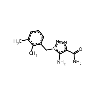 Cc1cccc(Cn2nnc(C(N)=O)c2N)c1C